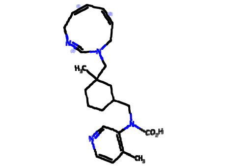 Cc1ccncc1N(CC1CCCC(C)(CN2/C=N\C/C=C\C=C/C2)C1)C(=O)O